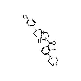 O=C(c1cccc(N2CCOCC2)c1F)N1CCN2C[C@@H](c3ccc(Cl)cc3)CC[C@@H]2C1